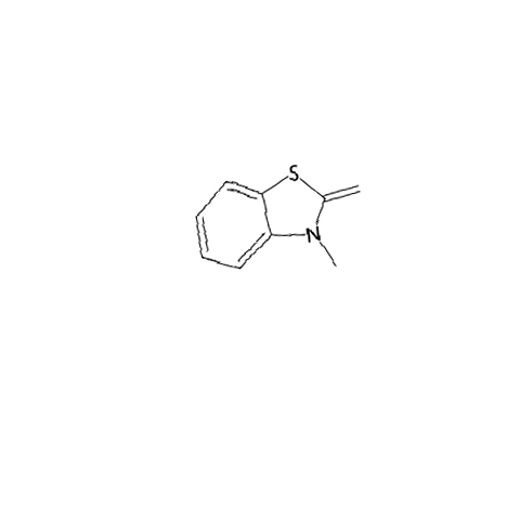 C=C1Sc2ccccc2N1C